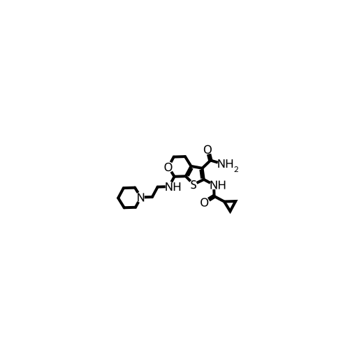 NC(=O)c1c(NC(=O)C2CC2)sc2c1CCOC2NCCN1CCCCC1